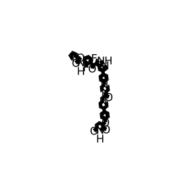 O=C1CCC(Oc2ccc(C3CCN(CC(=O)N4CCN(c5ccc(-c6cnc7[nH]cc(C(=O)c8c(F)ccc(NS(=O)(=O)N9CCCC9)c8F)c7c6)cc5)CC4)CC3)cc2)C(=O)N1